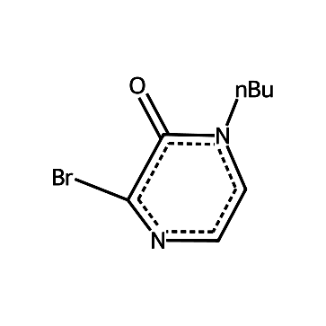 CCCCn1ccnc(Br)c1=O